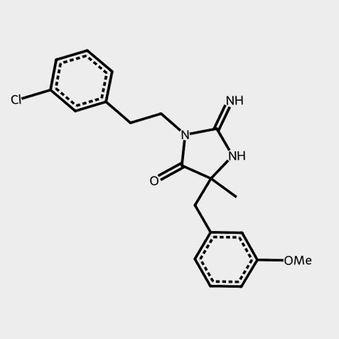 COc1cccc(CC2(C)NC(=N)N(CCc3cccc(Cl)c3)C2=O)c1